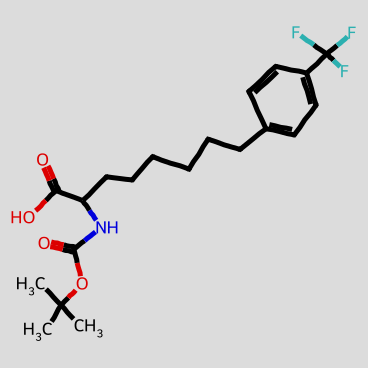 CC(C)(C)OC(=O)NC(CCCCCCc1ccc(C(F)(F)F)cc1)C(=O)O